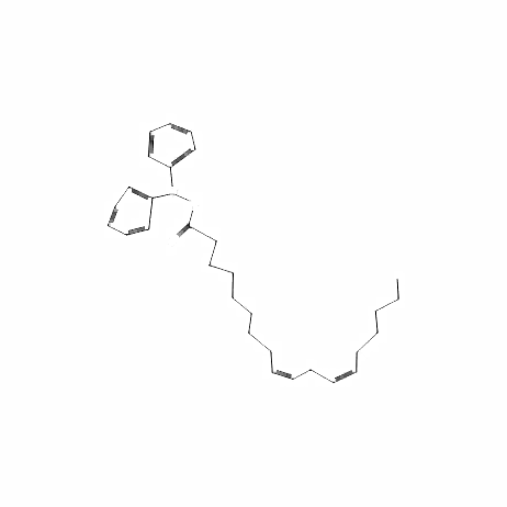 CCCCC/C=C\C/C=C\CCCCCCCC(=O)O[I+](c1ccccc1)c1ccccc1